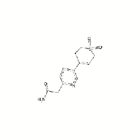 NC(=O)Cc1ccc(C2=CCS(=O)(=O)CC2)cn1